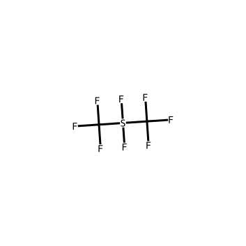 FC(F)(F)S(F)(F)C(F)(F)F